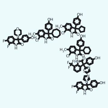 Cc1ccc2c(c1Cl)NC(=O)C2(c1ccc(O)cc1)C1CCCC1.Cc1ccc2c(c1Cl)NC(=O)C2(c1ccc(O)cc1)C1CCCCC1.Cc1ccc2c(c1Cl)NC(=O)C2(c1ccc(O)cc1)C1CCCCCC1.O=C1Nc2c(C(F)(F)F)cccc2C1(c1ccc(O)cc1)c1nccs1.O=C1Nc2c(ccc(F)c2F)C1(c1ccc(O)cc1)N1CCOCC1.O=C1Nc2c(ccc(F)c2F)C1(c1ccc(O)cc1)n1ccnc1